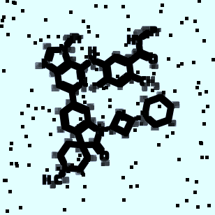 Cc1cc(F)c(Nc2nc(-c3ccc4c(c3)N([C@H]3C[C@@H](N5CCCCC5)C3)C(=O)C43CCN(C)CC3)cc3ncn(C(C)C)c23)cc1C(=O)NC(C)C